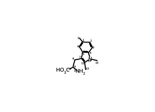 Cc1ccc2c(c1)c(CC(N)C(=O)O)c(C)n2C